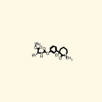 CCC1(c2cccc(OC(=O)N[C@H](C(=O)OC(C)(C)C)C(C)C)c2)CCCCN(C)C1=O